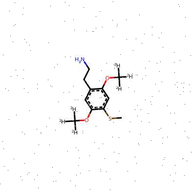 [2H]C([2H])([2H])Oc1cc(SC)c(OC([2H])([2H])[2H])cc1CCN